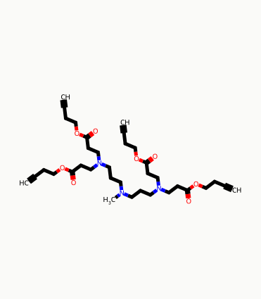 C#CCCOC(=O)CCN(CCCN(C)CCCN(CCC(=O)OCCC#C)CCC(=O)OCCC#C)CCC(=O)OCCC#C